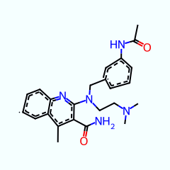 CC(=O)Nc1cccc(CN(CCN(C)C)c2nc3cc[c]cc3c(C)c2C(N)=O)c1